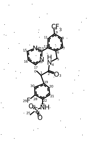 CC(C(=O)NCc1ccc(C(F)(F)F)cc1-c1ncccn1)c1ccc(NS(C)(=O)=O)c(F)c1